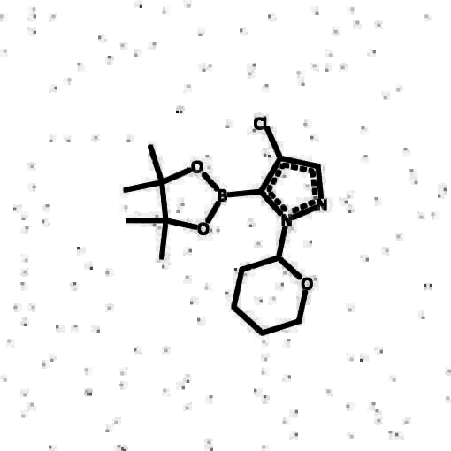 CC1(C)OB(c2c(Cl)cnn2C2CCCCO2)OC1(C)C